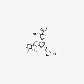 C=CC(=O)N1CCN(c2nc(OC[C@H]3C[C@@H](O)CN3C)nc3c2CCN(c2cccc(F)c2C(F)(F)F)C3)CC1CC#N